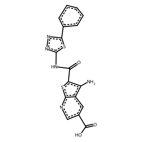 Nc1c(C(=O)Nc2nnc(-c3ccccc3)s2)sc2ncc(C(=O)O)cc12